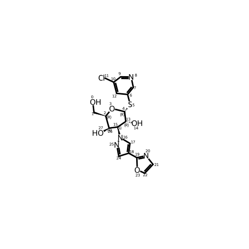 OC[C@H]1O[C@H](Sc2cncc(Cl)c2)[C@H](O)[C@@H](n2cc(-c3ncco3)cn2)[C@H]1O